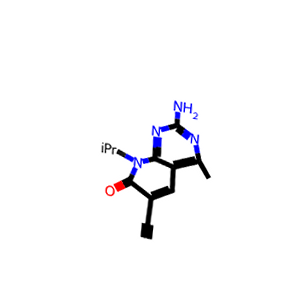 C#Cc1cc2c(C)nc(N)nc2n(C(C)C)c1=O